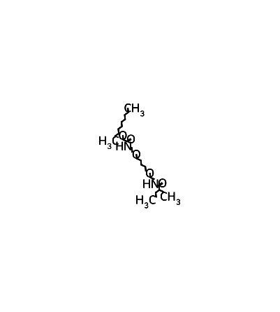 CCCCCCCC(CC)OCC(=O)NCCOCCCCCOCCNC(=O)C(CC)CCC